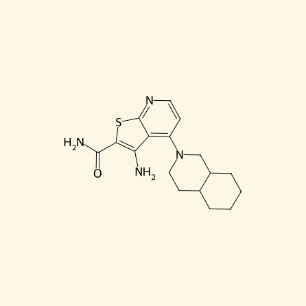 NC(=O)c1sc2nccc(N3CCC4CCCCC4C3)c2c1N